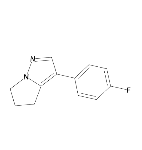 Fc1ccc(-c2cnn3c2CCC3)cc1